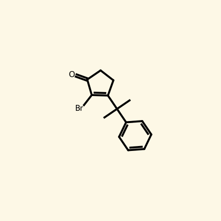 CC(C)(C1=C(Br)C(=O)CC1)c1ccccc1